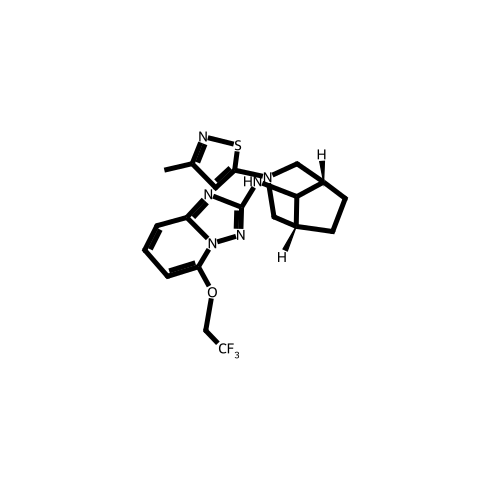 Cc1cc(N2C[C@H]3CC[C@@H](C2)C3Nc2nc3cccc(OCC(F)(F)F)n3n2)sn1